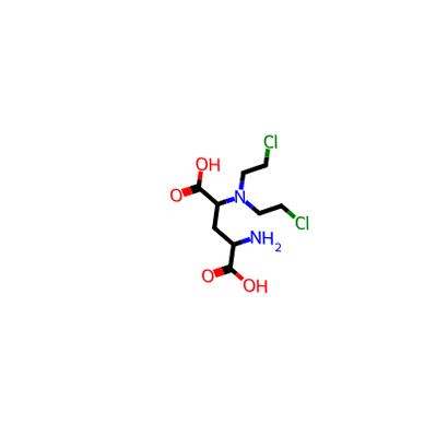 NC(CC(C(=O)O)N(CCCl)CCCl)C(=O)O